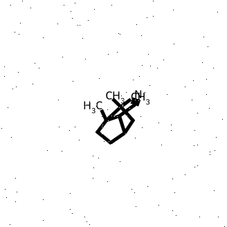 CC1(C)CC2CCC1(C)C2C#N